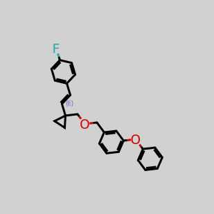 Fc1ccc(/C=C/C2(COCc3cccc(Oc4ccccc4)c3)CC2)cc1